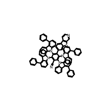 N#Cc1c(-n2c3ccccc3c3c(-c4ccccc4)cccc32)c(-n2c3ccccc3c3c(-c4ccccc4)cccc32)c(-c2ccc3c(c2)sc2cnccc23)c(-n2c3ccccc3c3c(-c4ccccc4)cccc32)c1-n1c2ccccc2c2c(-c3ccccc3)cccc21